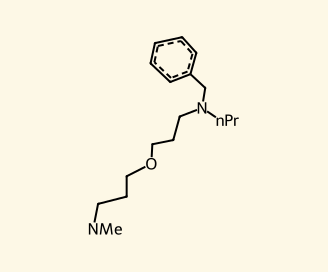 CCCN(CCCOCCCNC)Cc1ccccc1